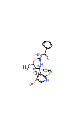 CC1OC(NC(=O)c2ccccc2)=N[C@@](C)(c2cc(Br)cnc2F)[C@@H]1C